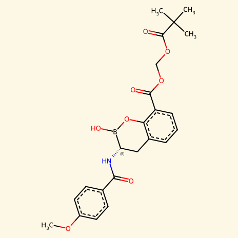 COc1ccc(C(=O)N[C@H]2Cc3cccc(C(=O)OCOC(=O)C(C)(C)C)c3OB2O)cc1